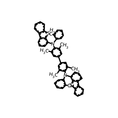 Cc1ccccc1N(c1c(C)cc(-c2cc(C)c(N(c3ccccc3C)c3cccc4c3sc3ccccc34)c(C)c2)cc1C)c1cccc2c1sc1ccccc12